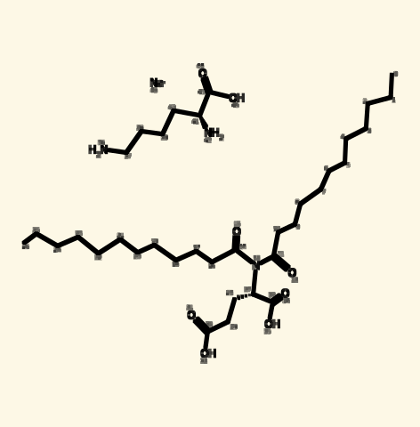 CCCCCCCCCCCC(=O)N(C(=O)CCCCCCCCCCC)[C@@H](CCC(=O)O)C(=O)O.NCCCC[C@H](N)C(=O)O.[Na]